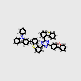 c1ccc(-n2c3ccccc3c3ccc(-c4cccc5c4sc4cccc(-c6nc(-c7ccc8c(c7)oc7ccccc78)nc(-c7cccc8sc9ccccc9c78)n6)c45)cc32)cc1